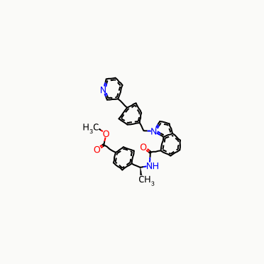 COC(=O)c1ccc([C@H](C)NC(=O)c2cccc3ccn(Cc4ccc(-c5cccnc5)cc4)c23)cc1